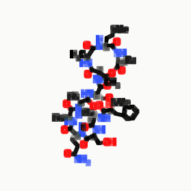 CC[C@@H](C)[C@@H](NC(=O)[C@@H](CCC(N)=O)NC(=O)[C@H](CO)NC(=O)[C@@H](NC(=O)[C@@H](Cc1ccccc1)NC)[C@@H](C)CC)C(=O)N[C@H](C(=O)N[C@@H](CO)C(=O)N[C@H]1C(=O)N[C@@H](C)C(=O)N[C@@H](CCSC)C(=O)N[C@@H]([C@@H](C)CC)C(=O)O[C@H]1C)[C@@H](C)CC